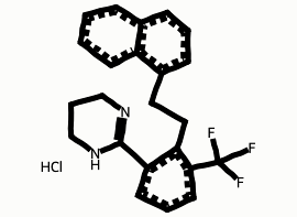 Cl.FC(F)(F)c1cccc(C2=NCCCN2)c1CCc1cccc2ccccc12